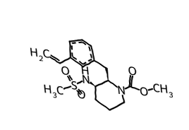 C=Cc1cccc(C[C@@H]2[C@H](NS(C)(=O)=O)CCCN2C(=O)OC)c1